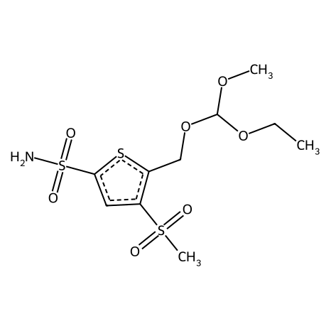 CCOC(OC)OCc1sc(S(N)(=O)=O)cc1S(C)(=O)=O